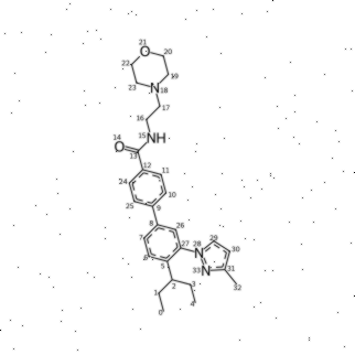 CCC(CC)c1ccc(-c2ccc(C(=O)NCCN3CCOCC3)cc2)cc1-n1ccc(C)n1